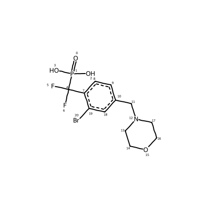 O=P(O)(O)C(F)(F)c1ccc(CN2CCOCC2)cc1Br